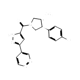 C[C@H]1CN(C(=O)c2cc(-c3ccnnc3)n[nH]2)C[C@@H]1c1ccc(Cl)cc1